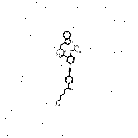 CC(C)Oc1ccc(C#Cc2ccc(C(=O)CCCCCO)cc2)cc1C(=O)N[C@@H](CO)Cc1c[nH]c2ccccc12